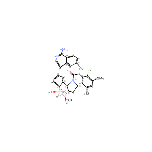 CCc1cc(OC)c(F)c([C@@H](Nc2ccc3c(N)nccc3c2)C(=O)N2CC[C@H](OC(=O)O)[C@H]2c2ccccc2S(=O)(=O)CC)c1